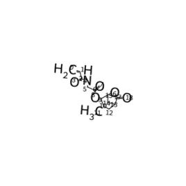 C=CC(=O)NCC(=O)OC1C(C)CC2CC1OC2=O